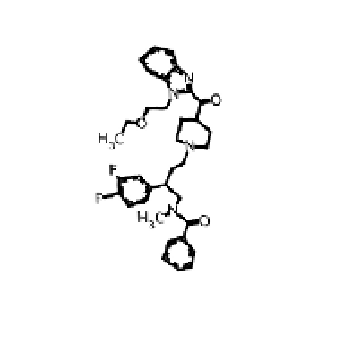 CCOCCn1c(C(=O)C2CCN(CCC(CN(C)C(=O)c3ccccc3)c3ccc(F)c(F)c3)CC2)nc2ccccc21